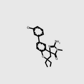 CCC1(CC)CC2(N=C(N)N(C)C2=O)c2cc(-c3cccc(Cl)c3)ccc2O1